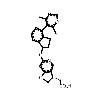 Cc1ncnc(C)c1-c1cccc2c1CCC2Oc1cc2c(cn1)[C@H](CC(=O)O)CO2